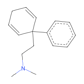 CN(C)CCC1(c2ccccc2)C=CCC=C1